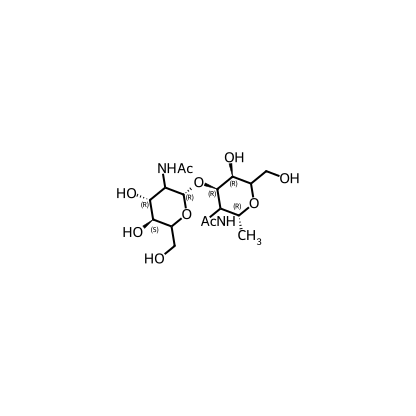 CC(=O)NC1[C@H](O[C@@H]2C(NC(C)=O)[C@@H](C)OC(CO)[C@@H]2O)OC(CO)[C@@H](O)[C@@H]1O